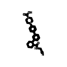 N#CCNC(=O)C1CCCCC1c1cccc(-c2ccc(N3CCN(C(=O)O)CC3)cc2)c1